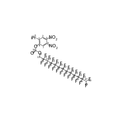 CC(C)c1cc([N+](=O)[O-])c([N+](=O)[O-])cc1OC(=O)OCC(F)(F)C(F)(F)C(F)(F)C(F)(F)C(F)(F)C(F)(F)C(F)(F)C(F)(F)C(F)(F)C(F)(F)C(F)(F)C(F)F